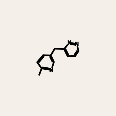 Cc1ccc(Cc2cccnn2)cn1